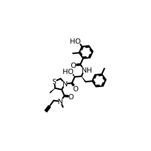 C#CCN(C)C(=O)C1[C@@H](C)SCN1C(=O)[C@@H](O)[C@H](Cc1cccc(C)c1)NC(=O)c1cccc(O)c1C